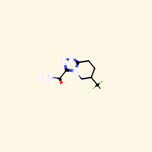 NC(=O)c1nnc2n1CC(C(F)(F)C(F)(F)F)CC2